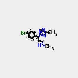 CNCCC(c1ccc(Br)cc1)n1nnc(C)n1